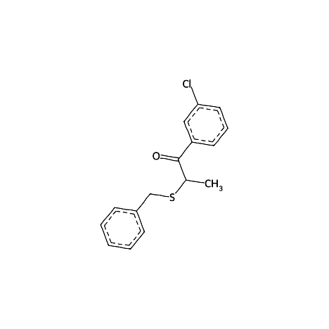 CC(SCc1ccccc1)C(=O)c1cccc(Cl)c1